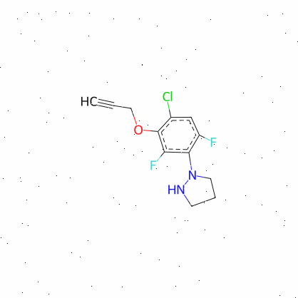 C#CCOc1c(Cl)cc(F)c(N2CCCN2)c1F